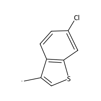 [CH2]c1csc2cc(Cl)ccc12